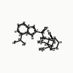 CC1(C)[C@H](NC(=O)c2cc3cccc(C(F)F)c3s2)C2CCN1CC2